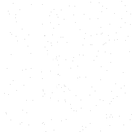 CCn1nc(C(F)(F)F)cc1-c1ccc(NCc2ccccc2F)cn1